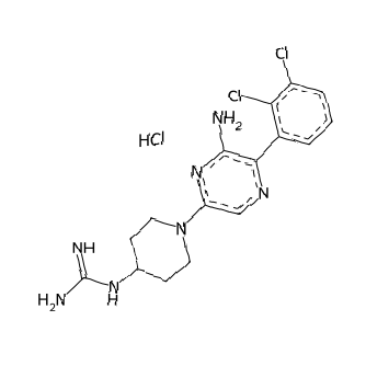 Cl.N=C(N)NC1CCN(c2cnc(-c3cccc(Cl)c3Cl)c(N)n2)CC1